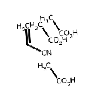 C=CC#N.CC(=O)O.CC(=O)O.CC(=O)O